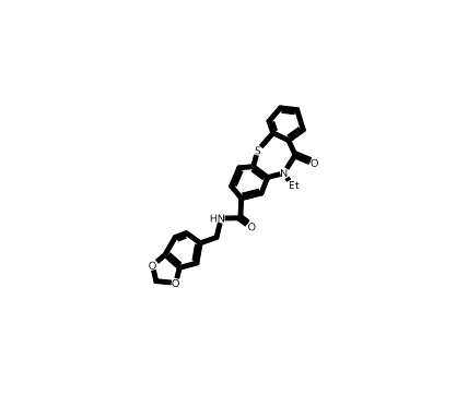 CCN1C(=O)c2ccccc2Sc2ccc(C(=O)NCc3ccc4c(c3)OCO4)cc21